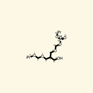 CC(C)OCOCC(CO)COCO[PH](=O)OC(C)C